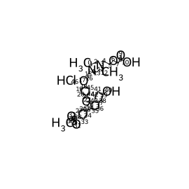 CC1CN(CCOCC(=O)O)[C@@H](C)CN1CCOc1ccc(Oc2c(-c3ccc(S(C)(=O)=O)cc3)ccc3cc(O)ccc23)cc1.Cl